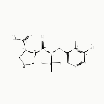 CC(C)(C)N(Cc1cccc(Cl)c1F)C(=O)N1CCC[C@H]1C(=O)O